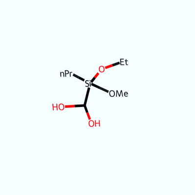 CCC[Si](OC)(OCC)C(O)O